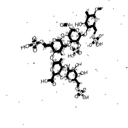 CO[C@H]1OC(COS(=O)(=O)O)[C@@H](O[C@@H]2O[C@@H](N=O)[C@@H](O[C@H]3OC(COS(=O)(=O)O)[C@@H](O[C@@H]4OC(C(=O)O)[C@@H](O[C@H]5OC(COS(=O)(=O)O)[C@@H](O)[C@H](O)C5C)[C@H](O)C4C)[C@H](C)C3C)C(O)C2OS(=O)(=O)O)[C@H](O)C1C